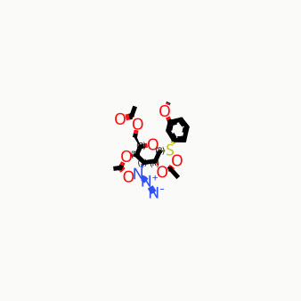 COc1cccc(S[C@H]2O[C@H](COC(C)=O)[C@H](OC(C)=O)[C@H](N=[N+]=[N-])[C@H]2OC(C)=O)c1